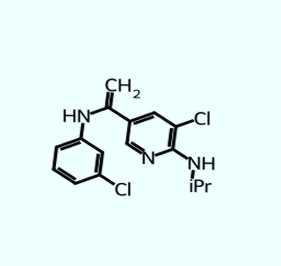 C=C(Nc1cccc(Cl)c1)c1cnc(NC(C)C)c(Cl)c1